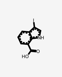 O=C(O)c1cccc2c(I)c[nH]c12